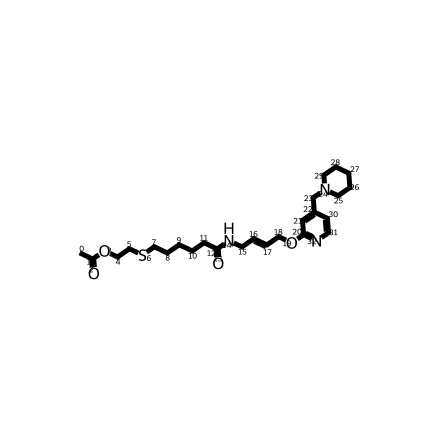 CC(=O)OCCSCCCCCC(=O)NCC=CCOc1cc(CN2CCCCC2)ccn1